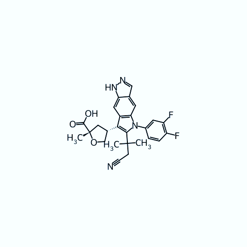 CC(C)(CC#N)c1c([C@@H]2CO[C@](C)(C(=O)O)C2)c2cc3[nH]ncc3cc2n1-c1ccc(F)c(F)c1